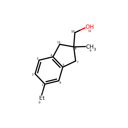 CCc1ccc2c(c1)CC(C)(CO)C2